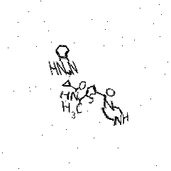 CC(NC(=O)[C@H]1C[C@@H]1c1nc2ccccc2[nH]1)c1ccc(C(=O)N2CCNCC2)s1